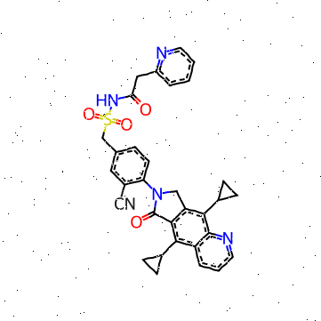 N#Cc1cc(CS(=O)(=O)NC(=O)Cc2ccccn2)ccc1N1Cc2c(c(C3CC3)c3cccnc3c2C2CC2)C1=O